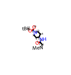 CNCC(=O)NC1CCN(C(=O)OC(C)(C)C)CC1